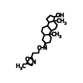 Cc1cnc(CCON=C2CCC3(C)C(CCC4C5CCC(O)C5(C)CCC43)C2)o1